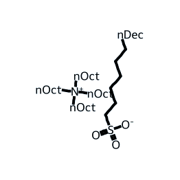 CCCCCCCCCCCCCCCCS(=O)(=O)[O-].CCCCCCCC[N+](CCCCCCCC)(CCCCCCCC)CCCCCCCC